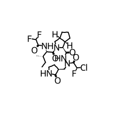 CC[C@H](C)[C@H](NC(=O)C(F)F)C(=O)N1C[C@@H]2CCC[C@@H]2[C@H]1C(=O)NN(C[C@@H]1CCNC1=O)C(=O)[C@H](F)Cl